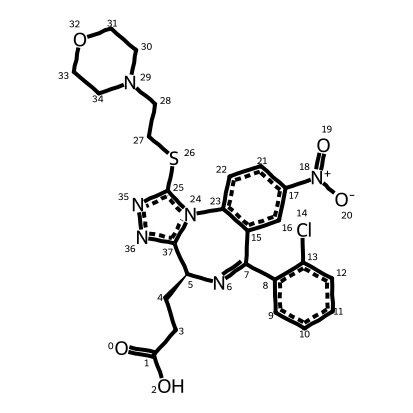 O=C(O)CC[C@@H]1N=C(c2ccccc2Cl)c2cc([N+](=O)[O-])ccc2-n2c(SCCN3CCOCC3)nnc21